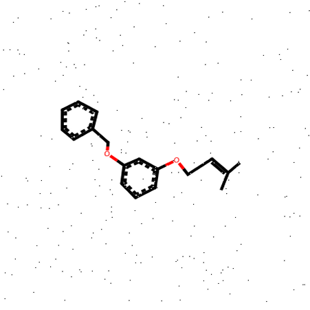 CC(C)=CCOc1[c]ccc(OCc2ccccc2)c1